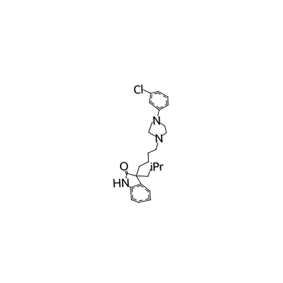 CC(C)CC1(CCCCN2CCN(c3cccc(Cl)c3)CC2)C(=O)Nc2ccccc21